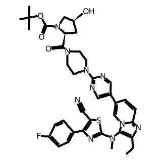 CCc1nc2ccc(-c3cnc(N4CCN(C(=O)[C@@H]5C[C@H](O)CN5C(=O)OC(C)(C)C)CC4)nc3)cn2c1N(C)c1nc(-c2ccc(F)cc2)c(C#N)s1